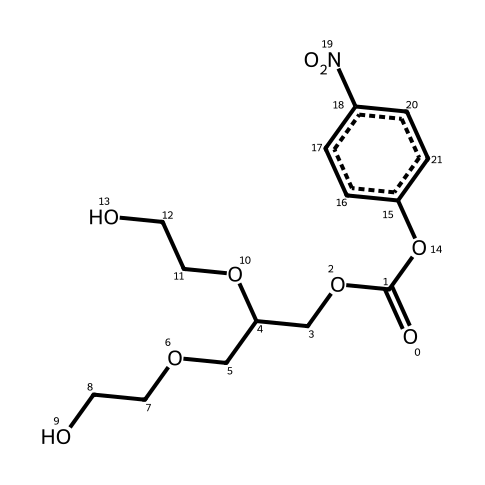 O=C(OCC(COCCO)OCCO)Oc1ccc([N+](=O)[O-])cc1